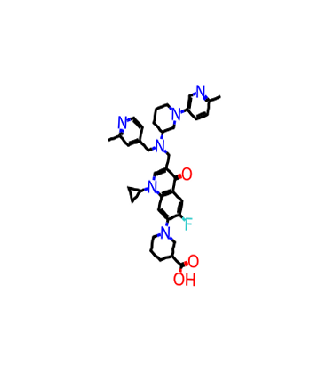 Cc1ccc(N2CCC[C@H](N(Cc3ccnc(C)c3)Cc3cn(C4CC4)c4cc(N5CCCC(C(=O)O)C5)c(F)cc4c3=O)C2)cn1